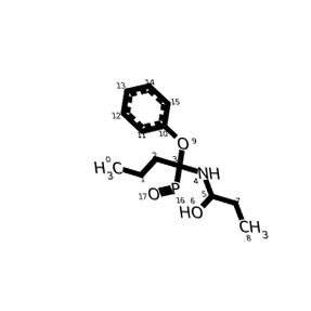 CCCC(NC(O)CC)(Oc1ccccc1)P=O